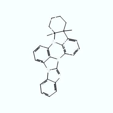 CC12CCCCC1(C)N1c3cccc4c3B(c3cccc2c31)c1nc2ccccc2n1-4